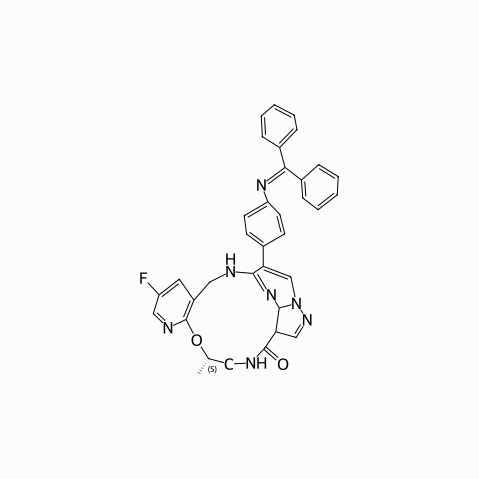 C[C@H]1CNC(=O)C2C=NN3C=C(c4ccc(N=C(c5ccccc5)c5ccccc5)cc4)C(=NC23)NCc2cc(F)cnc2O1